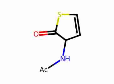 CC(=O)NC1C=CSC1=O